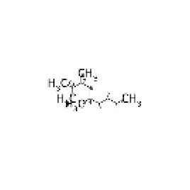 CCCCC(C)CC(C)C(C)C